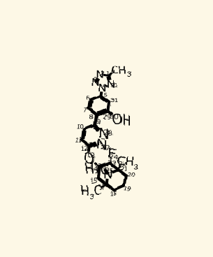 Cc1nnn(-c2ccc(-c3ccc(O[C@@H]4C[C@@]5(C)CCC[C@@](C)([C@H]4F)N5C)nn3)c(O)c2)n1